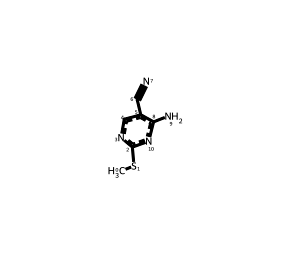 CSc1ncc(C#N)c(N)n1